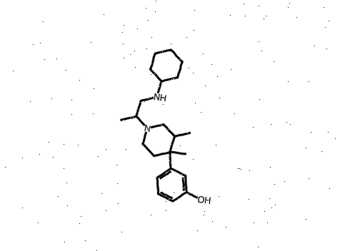 CC(CNC1CCCCC1)N1CCC(C)(c2cccc(O)c2)C(C)C1